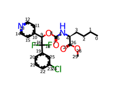 CCCC[C@H](NC(=O)OC(c1ccncc1)C(F)(F)c1cccc(Cl)c1)C(=O)OC